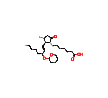 CCCCC[C@@H](C=C[C@H]1[C@H](C)CC(=O)[C@@H]1CCCCCCC(=O)O)OC1CCCCO1